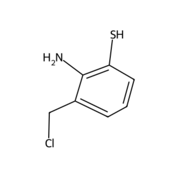 Nc1c(S)cccc1CCl